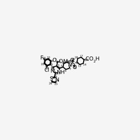 COC(=O)C1=C(C2CCN(S(=O)(=O)[C@H]3CC[C@H](C(=O)O)CC3)CC2)NC(c2nccs2)=N[C@@H]1c1ccc(F)cc1Cl